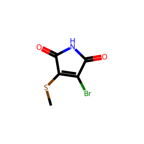 CSC1=C(Br)C(=O)NC1=O